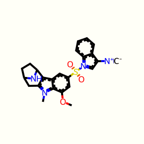 [C-]#[N+]c1cn(S(=O)(=O)c2cc(OC)c3c(c2)c2c(n3C)CC3CCC2N3)c2ccccc12